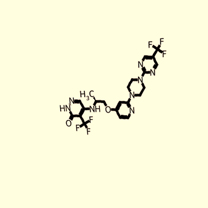 C[C@@H](COc1ccnc(N2CCN(c3ncc(C(F)(F)F)cn3)CC2)c1)Nc1cn[nH]c(=O)c1C(F)(F)F